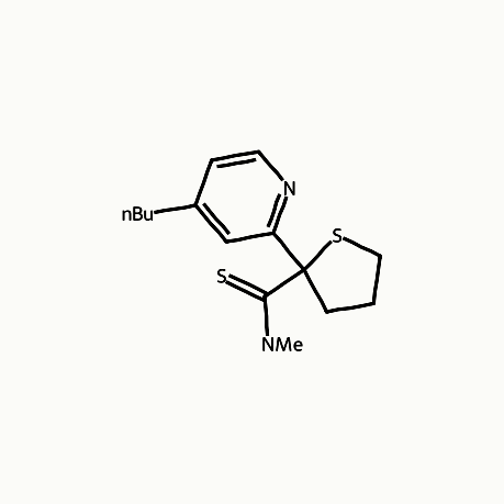 CCCCc1ccnc(C2(C(=S)NC)CCCS2)c1